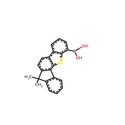 CC1(C)c2ccccc2-c2c1ccc1c2sc2c(B(O)O)cccc21